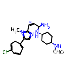 Cn1c(C2=CC=CC(Cl)=CC2)cnc1/C=C\C(N)N[C@H]1CC[C@H](NC=O)CC1